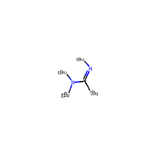 CC(C)(C)/N=C(\N(C(C)(C)C)C(C)(C)C)C(C)(C)C